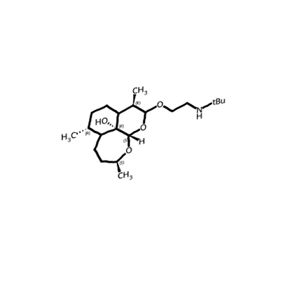 C[C@H]1C(OCCNC(C)(C)C)O[C@@H]2O[C@@H](C)CCC3[C@H](C)CCC1[C@]32O